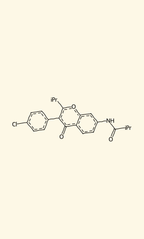 CC(C)C(=O)Nc1ccc2c(=O)c(-c3ccc(Cl)cc3)c(C(C)C)oc2c1